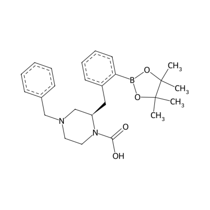 CC1(C)OB(c2ccccc2C[C@@H]2CN(Cc3ccccc3)CCN2C(=O)O)OC1(C)C